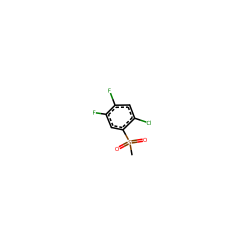 CS(=O)(=O)c1cc(F)c(F)cc1Cl